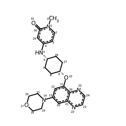 Cn1ccc(N[C@H]2CC[C@@H](Oc3cc(N4CCOCC4)cc4nccnc34)CC2)cc1=O